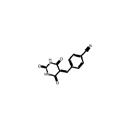 N#Cc1ccc(C=C2C(=O)NC(=O)NC2=O)cc1